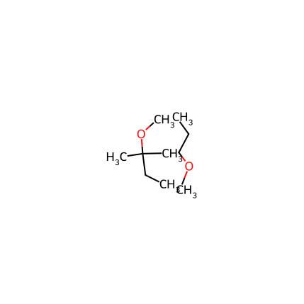 CCC(C)(C)OC.CCCOC